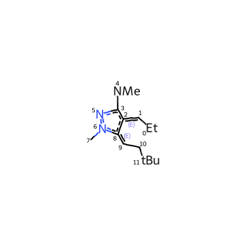 CC/C=c1/c(NC)nn(C)/c1=C/CC(C)(C)C